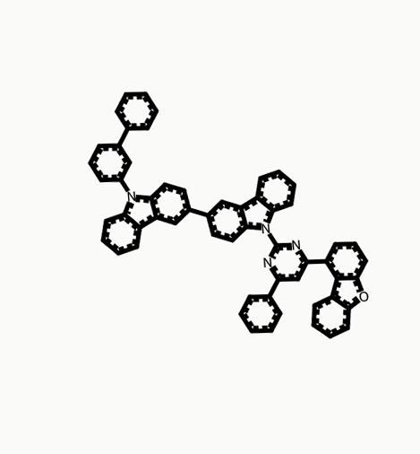 c1ccc(-c2cccc(-n3c4ccccc4c4cc(-c5ccc6c(c5)c5ccccc5n6-c5nc(-c6ccccc6)cc(-c6cccc7oc8ccccc8c67)n5)ccc43)c2)cc1